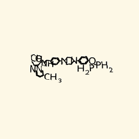 CCc1nc2ccc(C)cn2c1C(=O)NCc1ccc(N2CCN(c3ccc(OC(P)P)cc3)CC2)cc1